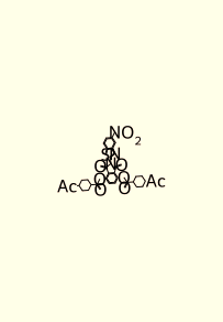 CC(=O)C1CCC(C(=O)Oc2ccc(OC(=O)C3CCC(C(C)=O)CC3)c3c2C(=O)N(c2nc4cc([N+](=O)[O-])ccc4s2)C3=O)CC1